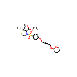 COC(=O)C1N(S(=O)(=O)c2ccc(OCC#CCOC3CCCCO3)cc2)CCSC1(C)C